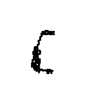 CCCCCCCCCCCCCCCCCCOC(=O)O[C@H]1CC[C@@]2(C)C(=CC[C@H]3[C@@H]4CC[C@H](C(C)CCCC(C)C)[C@@]4(C)CC[C@@H]32)C1